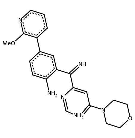 C=C(/C=C(\N=C/N)C(=N)c1cc(-c2cccnc2OC)ccc1N)N1CCOCC1